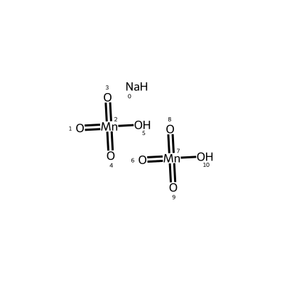 [NaH].[O]=[Mn](=[O])(=[O])[OH].[O]=[Mn](=[O])(=[O])[OH]